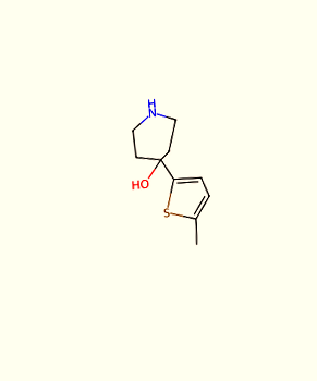 Cc1ccc(C2(O)CCNCC2)s1